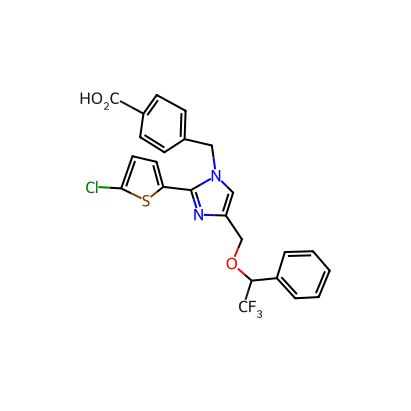 O=C(O)c1ccc(Cn2cc(COC(c3ccccc3)C(F)(F)F)nc2-c2ccc(Cl)s2)cc1